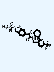 CC(C(=O)NCc1ccc(C(F)(F)F)nc1C1CCCCC1)c1ccc(CNS(C)(=O)=O)c(F)c1